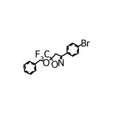 FC(F)(F)C1(OCc2ccccc2)CC(c2ccc(Br)cc2)=NO1